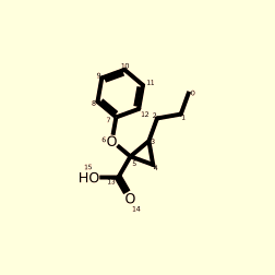 CCCC1CC1(Oc1ccccc1)C(=O)O